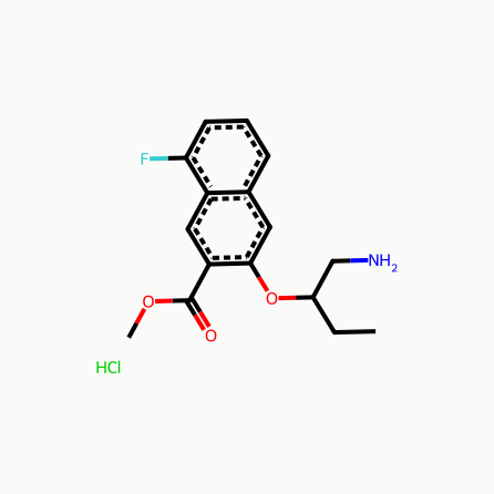 CCC(CN)Oc1cc2cccc(F)c2cc1C(=O)OC.Cl